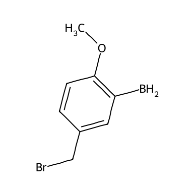 Bc1cc(CBr)ccc1OC